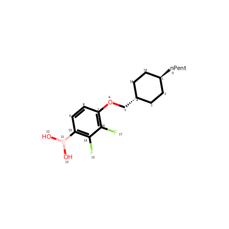 CCCCC[C@H]1CC[C@H](COc2ccc(B(O)O)c(F)c2F)CC1